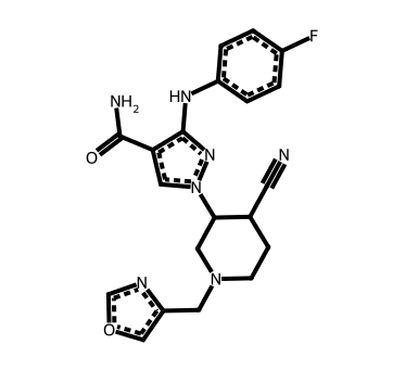 N#CC1CCN(Cc2cocn2)CC1n1cc(C(N)=O)c(Nc2ccc(F)cc2)n1